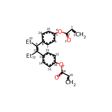 C=CC(=O)Oc1ccc(C(CC)=C(CC)c2ccc(OC(=O)C=C)cc2)cc1